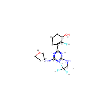 C[C@@H](Nc1nc(N[C@H]2CCOC2)nc(C2=C(F)C(O)CCC2)n1)C(F)(F)F